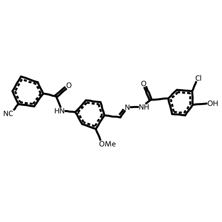 COc1cc(NC(=O)c2cccc(C#N)c2)ccc1C=NNC(=O)c1ccc(O)c(Cl)c1